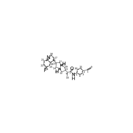 C#Cc1ccc(NC(=O)C(C)C2C[C@H]3CC(c4ccnc5ccc(F)cc45)C[C@H]3C2)cc1